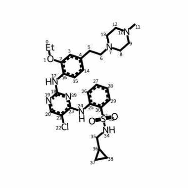 CCOc1cc(CCN2CCN(C)CC2)ccc1Nc1ncc(Cl)c(Nc2ccccc2S(=O)(=O)NCC2CC2)n1